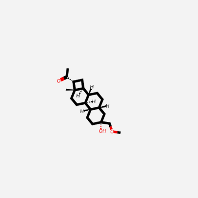 COC[C@@]1(O)CC[C@H]2[C@H](CC[C@@H]3[C@@H]2CC[C@]2(C)[C@H](C(C)=O)C[C@@H]32)C1